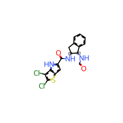 O=CN[C@@H]1c2ccccc2C[C@@H]1NC(=O)c1cc2sc(Cl)c(Cl)c2[nH]1